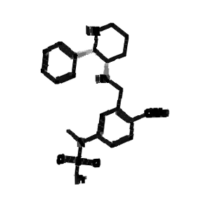 COc1ccc(N(C)S(=O)(=O)C(C)C)cc1CN[C@H]1CCCN[C@H]1c1ccccc1